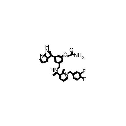 C=C(NCc1cc(OCC(N)=O)cc(-c2c[nH]c3ncccc23)c1)C1=CC=CN(Cc2ccc(F)c(F)c2)C1=C